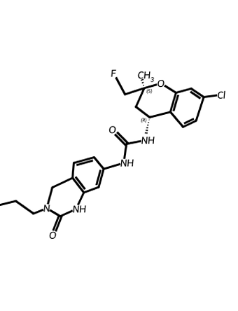 C[C@@]1(CF)C[C@@H](NC(=O)Nc2ccc3c(c2)NC(=O)N(CCO)C3)c2ccc(Cl)cc2O1